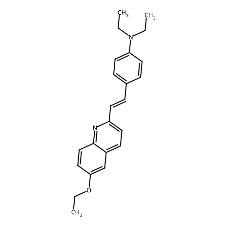 CCOc1ccc2nc(/C=C/c3ccc(N(CC)CC)cc3)ccc2c1